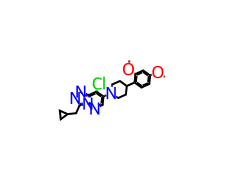 COc1ccc(C2CCN(c3cnn4c(CC5CC5)nnc4c3Cl)CC2)c(OC)c1